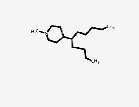 CCCCCC(CCCC)C1CCN(C)CC1